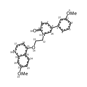 COc1cccc(-c2ccc(=O)n(CCOc3ccnc4cc(OC)ccc34)c2)c1